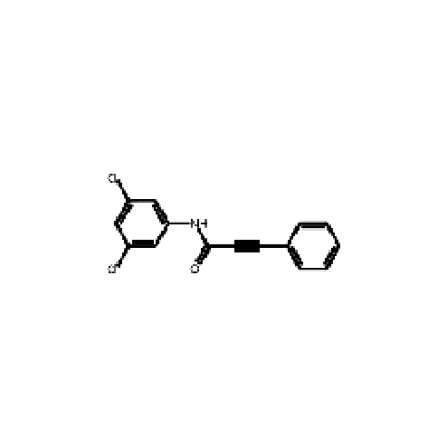 O=C(C#Cc1ccccc1)Nc1cc(Cl)cc(Cl)c1